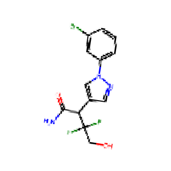 NC(=O)[C](c1cnn(-c2cccc(Br)c2)c1)C(F)(F)CO